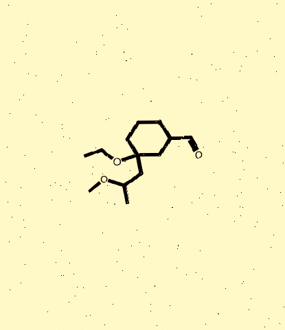 CCOC1(CC(C)OC)CCCC(C=O)C1